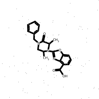 CC1CN(Cc2ccccc2)C(=O)C(C)N1c1nc2c(C(=O)O)cccc2o1